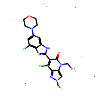 Cn1cc2c(n1)c(Cl)c(-c1nc3c(F)cc(N4CCOCC4)cc3[nH]1)c(=O)n2CP